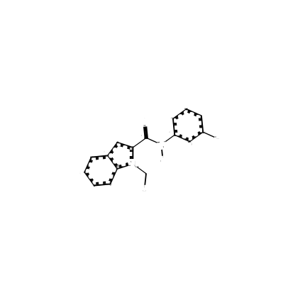 CC(=O)Cn1c(C(=O)N(C)c2cccc(F)c2)cc2ccccc21